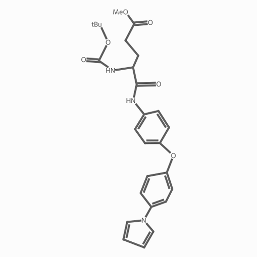 COC(=O)CCC(NC(=O)OC(C)(C)C)C(=O)Nc1ccc(Oc2ccc(-n3cccc3)cc2)cc1